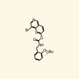 CC[C@H](C)Oc1ccccc1CNC(=O)Oc1ccc2cncc(Br)c2n1